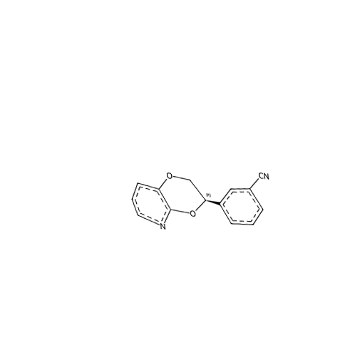 N#Cc1cccc([C@@H]2COc3cccnc3O2)c1